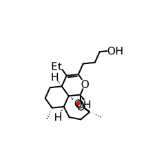 CCC1=C(CCCO)O[C@@H]2O[C@]3(C)CC[C@H]4[C@H](C)CC[C@@H]1[C@@]24OO3